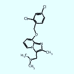 Cc1nc2c(OCc3ccc(Cl)cc3Cl)cccn2c1CN(C)C